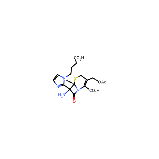 CC(=O)OCC1=C(C(=O)O)N2C(=O)C(N)(c3nccn3CCCC(=O)O)[C@@H]2SC1